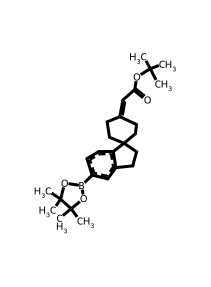 CC(C)(C)OC(=O)C=C1CCC2(CC1)CCc1cc(B3OC(C)(C)C(C)(C)O3)ccc12